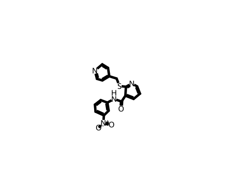 O=C(Nc1cccc([N+](=O)[O-])c1)c1cccnc1SCc1ccncc1